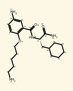 NCCCCCOc1ccc(N)cc1C(=O)N[C@@H](CC1CCCCC1)C(N)=O